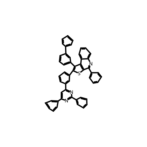 c1ccc(-c2cccc(-c3c(-c4cccc(-c5cc(-c6ccccc6)nc(-c6ccccc6)n5)c4)sc4c(-c5ccccc5)nc5ccccc5c34)c2)cc1